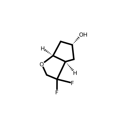 O[C@H]1C[C@@H]2OCC(F)(F)[C@@H]2C1